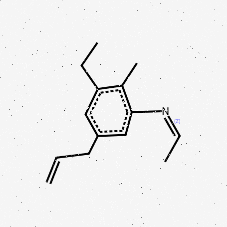 C=CCc1cc(CC)c(C)c(/N=C\C)c1